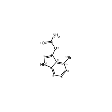 NC(=O)Oc1c[nH]c2cccc(Br)c12